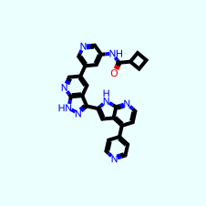 O=C(Nc1cncc(-c2cnc3[nH]nc(-c4cc5c(-c6ccncc6)ccnc5[nH]4)c3c2)c1)C1CCC1